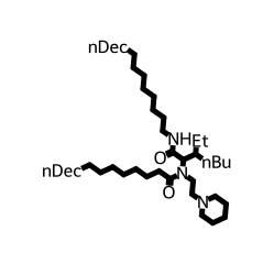 CCCCCCCCCCCCCCCCCCNC(=O)C(C(CC)CCCC)N(CCN1CCCCC1)C(=O)CCCCCCCCCCCCCCCCC